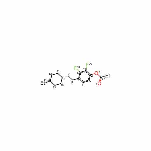 CCC(=O)Oc1ccc(CC[C@H]2CC[C@H](CC)CC2)c(F)c1F